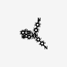 N#Cc1ccc(-c2ccc(-c3nc(-c4ccc(-c5ccc(C#N)cc5)cc4)nc(-c4ccc5c(c4)C4(c6ccccc6Oc6ccccc64)c4ccccc4-5)n3)cc2)cc1